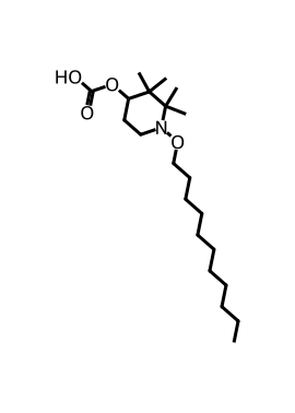 CCCCCCCCCCCON1CCC(OC(=O)O)C(C)(C)C1(C)C